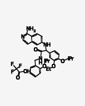 CCOc1cc(C(Nc2ccc3c(N)nccc3c2)C(=O)NCc2ccccc2OC(C)C)ccc1OC(C)C.O=C(O)C(F)(F)F